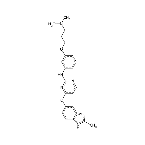 Cc1cc2cc(Oc3ccnc(Nc4cccc(OCCCN(C)C)c4)n3)ccc2[nH]1